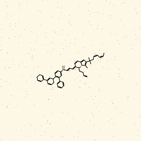 C=CCCC(C)C(/C=C\C1=CC(C(C)(C)C/C=C\C=C/C)=C(C)C1)=C/C=C/Nc1ccc(C2C=C(C3=CCCC=C3)C=CC2)c(-c2ccccc2)c1